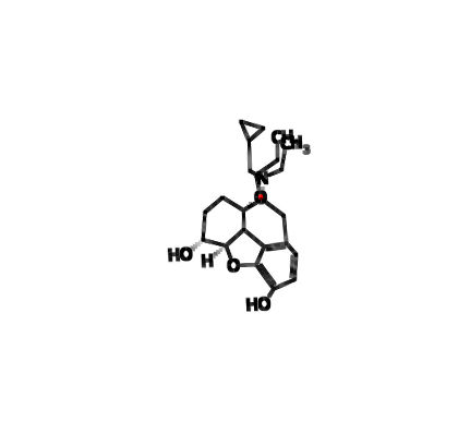 CCCO[C@@]12CC[C@@H](O)[C@@H]3Oc4c(O)ccc(c4C31)C[C@H]2N(CC)CC1CC1